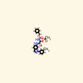 CC(=O)OC[C@H](NC(=O)OCc1ccccc1)C(=O)Nc1ccc2cnn(-c3cccc(C)c3)c2c1